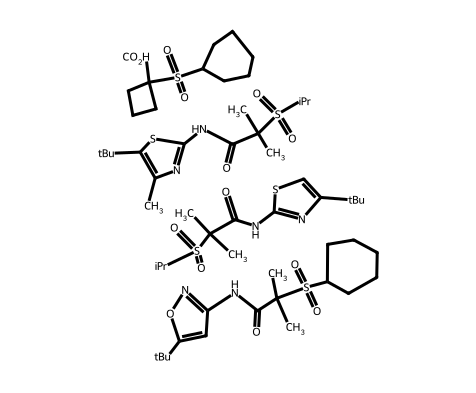 CC(C)(C)c1cc(NC(=O)C(C)(C)S(=O)(=O)C2CCCCC2)no1.CC(C)S(=O)(=O)C(C)(C)C(=O)Nc1nc(C(C)(C)C)cs1.Cc1nc(NC(=O)C(C)(C)S(=O)(=O)C(C)C)sc1C(C)(C)C.O=C(O)C1(S(=O)(=O)C2CCCCC2)CCC1